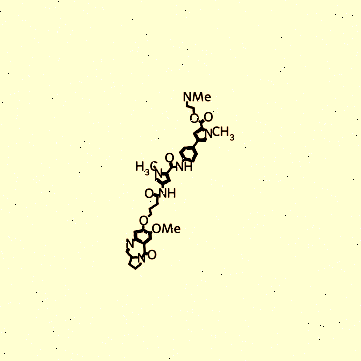 CNCCOC(=O)c1cc(-c2ccc(NC(=O)c3cc(NC(=O)CCCOc4cc5c(cc4OC)C(=O)N4CCCC4C=N5)cn3C)cc2)cn1C